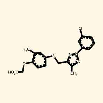 Cc1cc(SCc2nn(-c3cccc(Cl)c3)nc2C)ccc1OCC(=O)O